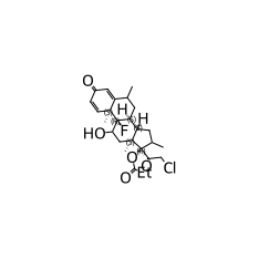 CCC(=O)O[C@]1(C(=O)CCl)C(C)C[C@H]2[C@@H]3CC(C)C4=CC(=O)C=C[C@]4(C)[C@@]3(F)C(O)C[C@@]21C